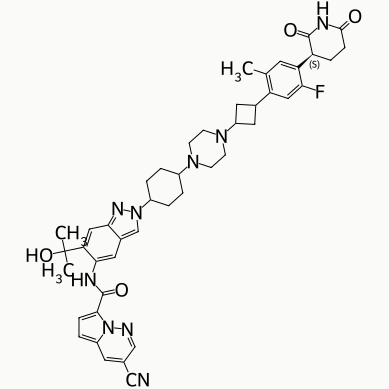 Cc1cc([C@@H]2CCC(=O)NC2=O)c(F)cc1C1CC(N2CCN(C3CCC(n4cc5cc(NC(=O)c6ccc7cc(C#N)cnn67)c(C(C)(C)O)cc5n4)CC3)CC2)C1